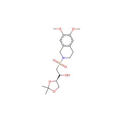 COc1cc2c(cc1OC)CN(S(=O)(=O)CC(O)[C@H]1COC(C)(C)O1)CC2